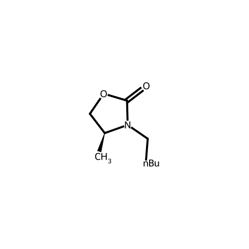 CCCCCN1C(=O)OC[C@@H]1C